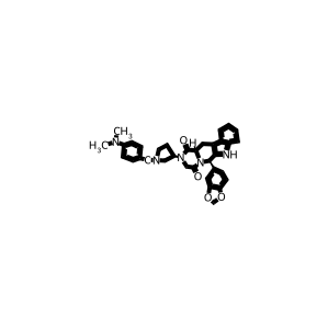 CN(C)c1ccc(CN2CC[C@@H](N3CC(=O)N4[C@H](c5ccc6c(c5)OCO6)c5[nH]c6ccccc6c5C[C@@H]4C3=O)C2)cc1